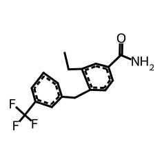 CCc1cc(C(N)=O)ccc1Cc1cccc(C(F)(F)F)c1